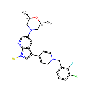 C[C@@H]1CN(c2cnc3c(c2)c(C2=CCN(Cc4cccc(Cl)c4F)C=C2)cn3S)C[C@@H](C)O1